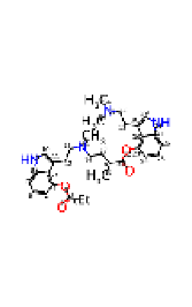 CCC(=O)Oc1cccc2[nH]cc(CCN(C)CCC(C)C(=O)Oc3cccc4[nH]cc(CCN(C)C)c34)c12